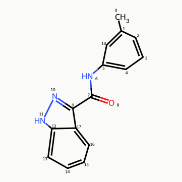 Cc1cccc(NC(=O)c2n[nH]c3ccccc23)c1